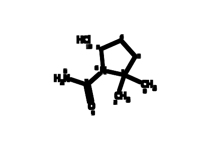 CC1(C)CCCN1C(N)=O.Cl